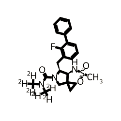 [2H]C([2H])([2H])N(C(=O)N1CC2(CC2)[C@H](NS(C)(=O)=O)[C@@H]1Cc1cccc(-c2ccccc2)c1F)C([2H])([2H])[2H]